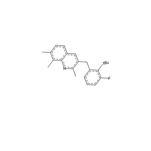 Cc1ccc2cc(Cc3cccc(F)c3C(C)(C)C)c(C)nc2c1C